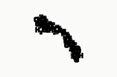 CC1(C)c2cc(C3CCN(C4CC(CN5CCC6(CC5)COc5c6ccc6c5CN([C@H]5CCC(=O)NC5=O)C6=O)C4)CC3)ccc2-n2c1nc(=O)c1c(Cl)cccc12